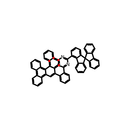 c1ccc(-c2nc(-c3ccccc3-c3cc4c5ccccc5c5ccccc5c4c4ccccc34)nc(-c3cccc4c3-c3ccccc3C43c4ccccc4-c4ccccc43)n2)cc1